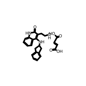 O=C(O)C=CC(=O)O.O=c1[nH]c2ccccc2c(NC2Cc3ccccc3C2)c1CCO